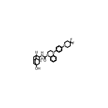 O=C(NC1[C@@H]2CC3C[C@H]1CC(O)(C3)C2)N1CCN(c2ccc(N3CCC(F)(F)CC3)cc2)c2ccccc21